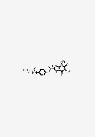 CCCn1c(=O)c2nc(C(C)Cc3ccc(NC(C)C(=O)O)cc3)[nH]c2n(CCC)c1=O